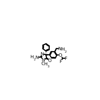 CN1C(=O)[C@](c2ccccc2)(c2ccc(OC(F)F)c(CN)c2)N=C1N